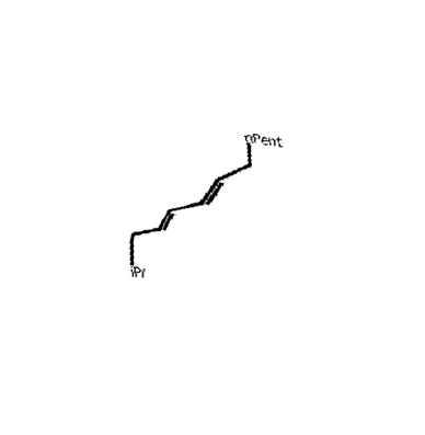 CCCCCCC=CC=CCC(C)C